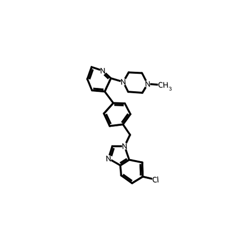 CN1CCN(c2ncccc2-c2ccc(Cn3cnc4ccc(Cl)cc43)cc2)CC1